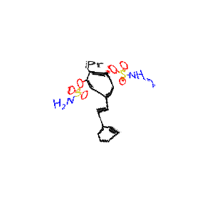 CC(C)c1c(OS(N)(=O)=O)cc(/C=C/c2ccccc2)cc1OS(N)(=O)=O